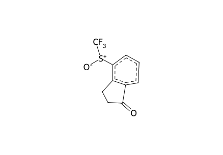 O=C1CCc2c1cccc2[S+]([O-])C(F)(F)F